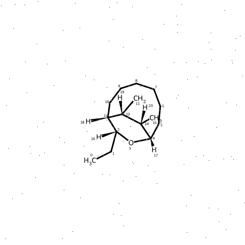 CC[C@H]1O[C@H]2CCCCCC[C@@H]1[C@H](C)[C@@H]2C